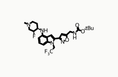 CN1CC[C@@H](Nc2cccc3c2cc(-c2cc(CNC(=O)OC(C)(C)C)on2)n3CC(F)(F)F)[C@@H](F)C1